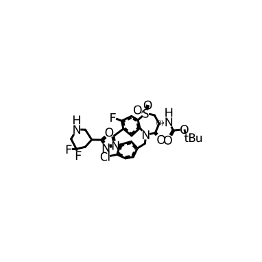 CC(C)(C)OC(=O)N[C@H]1CS(=O)(=O)c2cc(F)c(-c3nnc(C4CNCC(F)(F)C4)o3)cc2N(Cc2ccc(Cl)cc2)C1=O